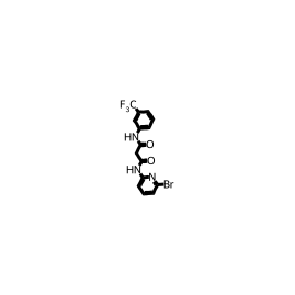 O=C(CC(=O)Nc1cccc(Br)n1)Nc1cccc(C(F)(F)F)c1